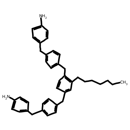 CCCCCCCc1cc(Cc2ccc(Cc3ccc(N)cc3)cc2)ccc1Cc1ccc(Cc2ccc(N)cc2)cc1